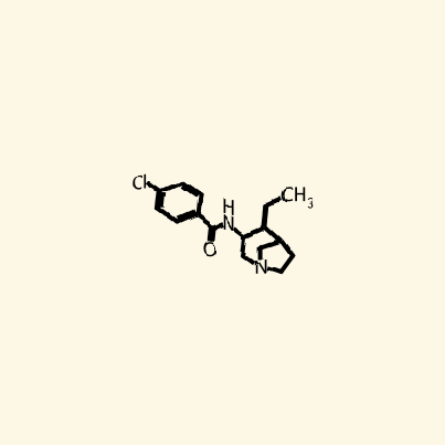 CCC1C2CCN(C2)CC1NC(=O)c1ccc(Cl)cc1